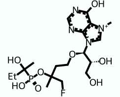 CCC(C)(O)P(=O)(O)OC(C)(CF)CCO[C@H]([C@H](O)CO)n1c[n+](C)c2c(O)ncnc21